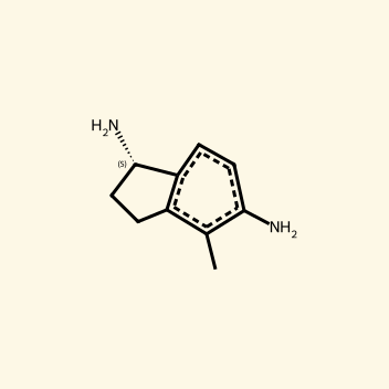 Cc1c(N)ccc2c1CC[C@@H]2N